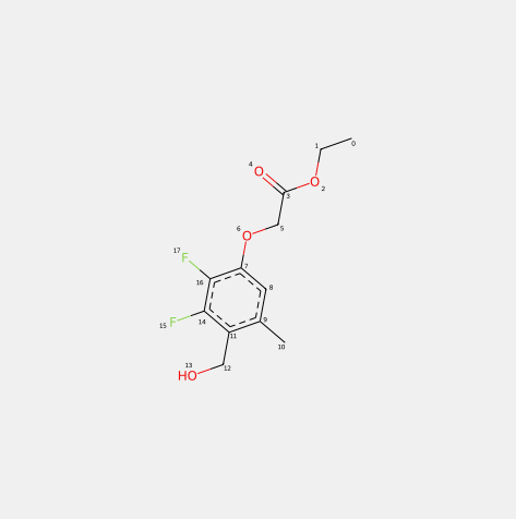 CCOC(=O)COc1cc(C)c(CO)c(F)c1F